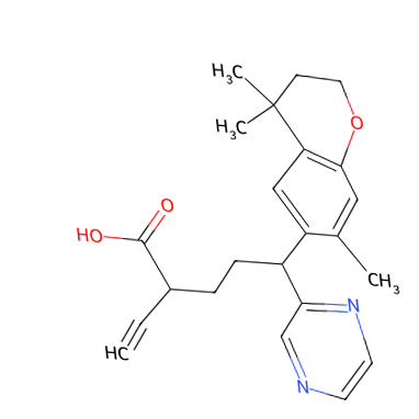 C#CC(CCC(c1cnccn1)c1cc2c(cc1C)OCCC2(C)C)C(=O)O